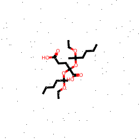 CCCCC(C)(OCC)OC(CCC(=O)O)(OC(C)(CCCC)OCC)C(=O)O